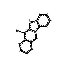 Brc1c2ccccc2cc2c1oc1ccccc12